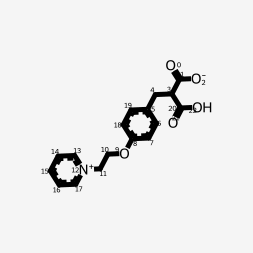 O=C([O-])C(Cc1ccc(OCC[n+]2ccccc2)cc1)C(=O)O